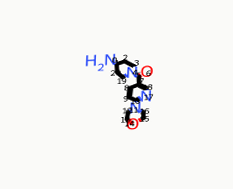 NC1CCN(C(=O)c2ccc(N3CCOCC3)nc2)CC1